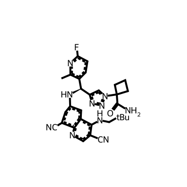 Cc1nc(F)ccc1[C@H](Nc1cc(C#N)c2ncc(C#N)c(NCC(C)(C)C)c2c1)c1cn(C2(C(N)=O)CCC2)nn1